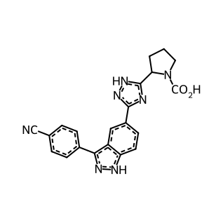 N#Cc1ccc(-c2n[nH]c3ccc(-c4n[nH]c(C5CCCN5C(=O)O)n4)cc23)cc1